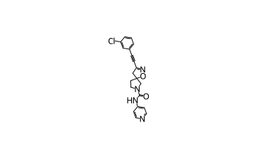 O=C(Nc1ccncc1)N1CCC2(CC(C#Cc3cccc(Cl)c3)=NO2)C1